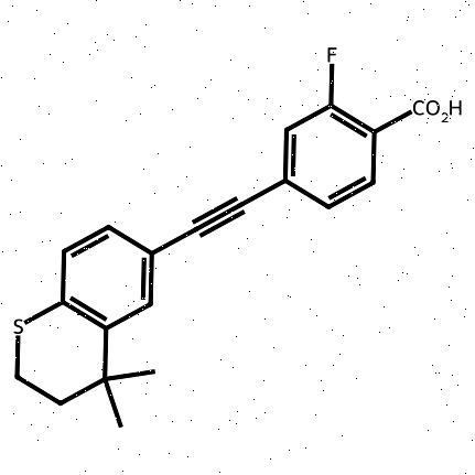 CC1(C)CCSc2ccc(C#Cc3ccc(C(=O)O)c(F)c3)cc21